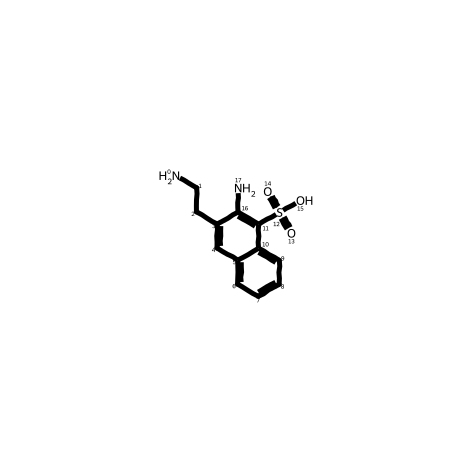 NCCc1cc2ccccc2c(S(=O)(=O)O)c1N